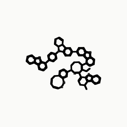 CCC1=C(\c2cccc3oc4ccc(-c5ccc6c(c5)C5C=CC=CC5N6c5ccc(-c6cccc7c6oc6ccccc67)cc5)cc4c23)CCCC(c2ccc3c(c2)OS/C=C\C=C/C3)/N=C\1C1=CCC(C)c2c1sc1ccccc21